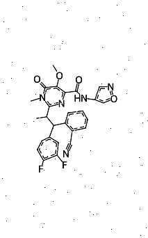 COc1c(C(=O)Nc2cnoc2)nc(C(C)C(c2ccc(F)c(F)c2)c2ccccc2C#N)n(C)c1=O